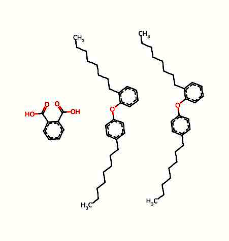 CCCCCCCCc1ccc(Oc2ccccc2CCCCCCCC)cc1.CCCCCCCCc1ccc(Oc2ccccc2CCCCCCCC)cc1.O=C(O)c1ccccc1C(=O)O